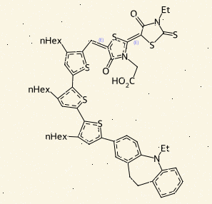 CCCCCCc1cc(-c2sc(-c3sc(-c4ccc5c(c4)CCc4ccccc4N5CC)cc3CCCCCC)cc2CCCCCC)sc1/C=c1/s/c(=C2/SC(=S)N(CC)C2=O)n(CC(=O)O)c1=O